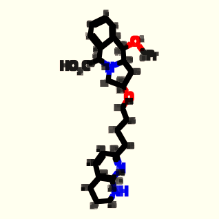 CC(C)O[C@@H]1c2ccccc2C(C(=O)O)N2C[C@H](OCCCCc3ccc4c(n3)NCCC4)CC12